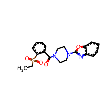 CCS(=O)(=O)c1ccccc1C(=O)N1CCN(c2nc3ccccc3o2)CC1